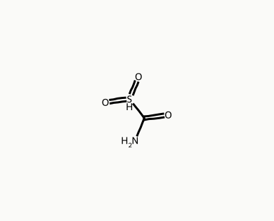 NC(=O)[SH](=O)=O